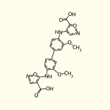 COc1cc(-c2ccc(Nc3oncc3C(=O)O)c(OC)c2)ccc1Nc1cnoc1C(=O)O